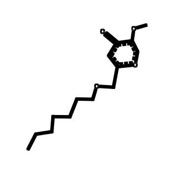 CCCCCCCOCc1cc(=O)c(OC)co1